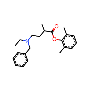 CCN(CCC(C)C(=O)Oc1c(C)cccc1C)Cc1ccccc1